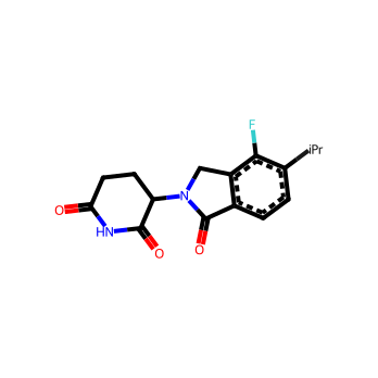 CC(C)c1ccc2c(c1F)CN(C1CCC(=O)NC1=O)C2=O